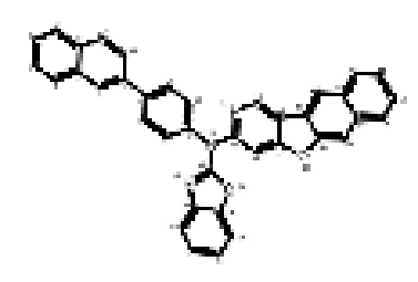 c1ccc2cc(-c3ccc(N(c4cc5oc6cc7ccccc7cc6c5cn4)c4nc5ccccc5o4)cc3)ccc2c1